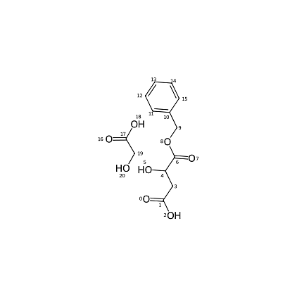 O=C(O)CC(O)C(=O)OCc1ccccc1.O=C(O)CO